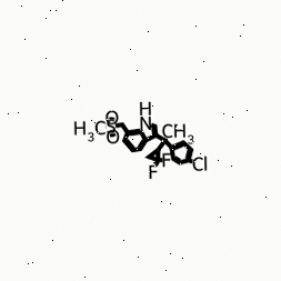 CC(c1ccc(Cl)cc1)(c1c[nH]c2c(CS(C)(=O)=O)cccc12)C1CC1(F)F